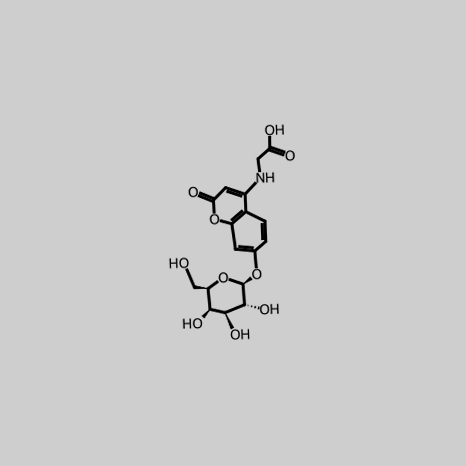 O=C(O)CNc1cc(=O)oc2cc(O[C@@H]3O[C@H](CO)[C@H](O)[C@H](O)[C@H]3O)ccc12